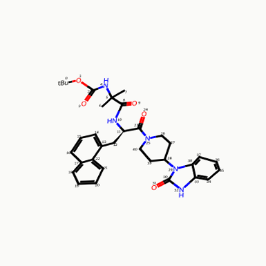 CC(C)(C)OC(=O)NC(C)(C)C(=O)N[C@H](Cc1cccc2ccccc12)C(=O)N1CCC(n2c(=O)[nH]c3ccccc32)CC1